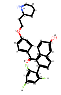 O=C(c1ccc(OCCC2CCCCN2)cc1)c1c(-c2c(F)cc(F)cc2F)ccc2cc(O)ccc12